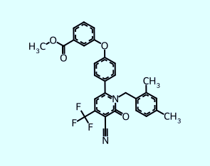 COC(=O)c1cccc(Oc2ccc(-c3cc(C(F)(F)F)c(C#N)c(=O)n3Cc3ccc(C)cc3C)cc2)c1